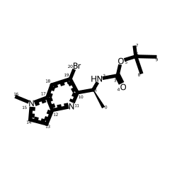 C[C@H](NC(=O)OC(C)(C)C)c1nc2ccn(C)c2cc1Br